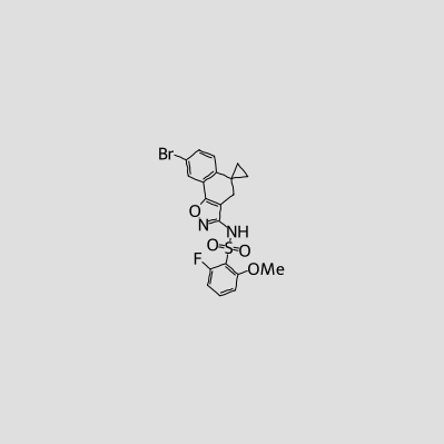 COc1cccc(F)c1S(=O)(=O)Nc1noc2c1CC1(CC1)c1ccc(Br)cc1-2